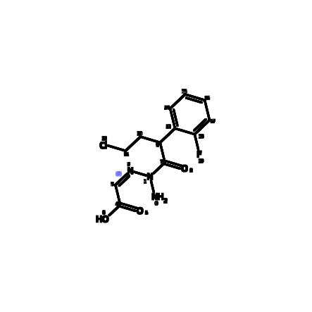 NN(/N=C\C(=O)O)C(=O)C(CCCl)c1ccccc1F